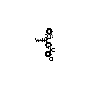 CNC(C1CCN(C(=O)c2cccc(Cl)c2)CC1)C1COc2ccccc2O1